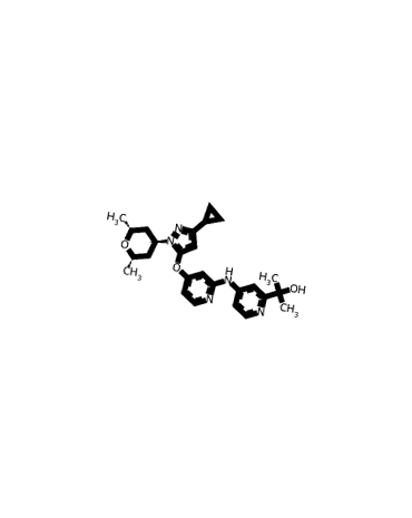 C[C@@H]1C[C@@H](n2nc(C3CC3)cc2Oc2ccnc(Nc3ccnc(C(C)(C)O)c3)c2)C[C@H](C)O1